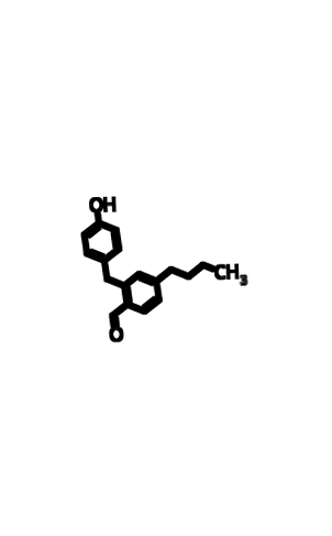 CCCCc1ccc(C=O)c(Cc2ccc(O)cc2)c1